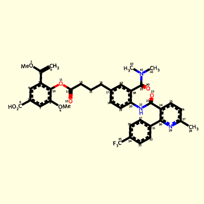 C=C(OC)c1cc(C(=O)O)cc(OC)c1OC(=O)CCCc1ccc(NC(=O)c2ccc(C)nc2-c2ccc(C(F)(F)F)cc2)c(C(=O)N(C)C)c1